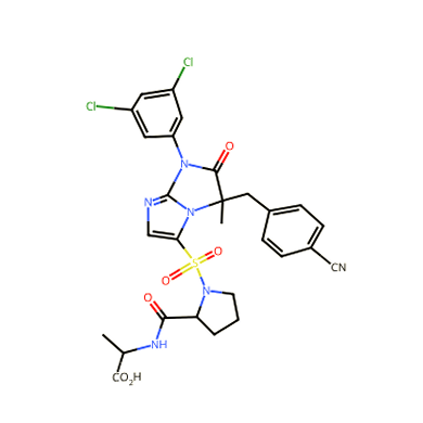 CC(NC(=O)C1CCCN1S(=O)(=O)c1cnc2n1C(C)(Cc1ccc(C#N)cc1)C(=O)N2c1cc(Cl)cc(Cl)c1)C(=O)O